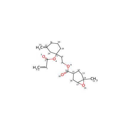 C=CC(=O)OC1(CCOC(=O)C2CCC3(C)OC3C2)CCCC(=C)C1